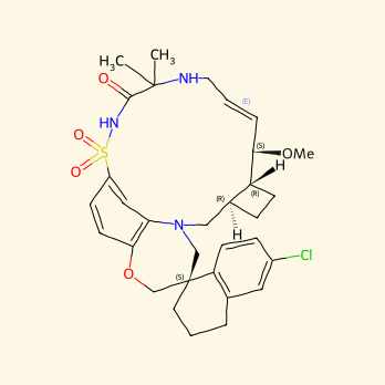 CO[C@@H]1/C=C/CNC(C)(C)C(=O)NS(=O)(=O)c2ccc3c(c2)N(C[C@@H]2CC[C@H]21)C[C@@]1(CCCc2cc(Cl)ccc21)CO3